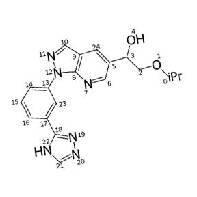 CC(C)OCC(O)c1cnc2c(cnn2-c2cccc(-c3nnc[nH]3)c2)c1